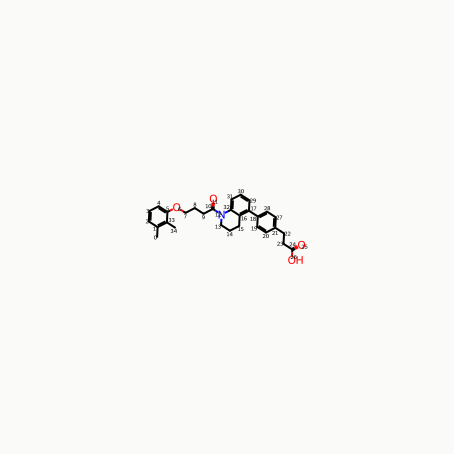 Cc1cccc(OCCCC(=O)N2CCCc3c(-c4ccc(CCC(=O)O)cc4)cccc32)c1C